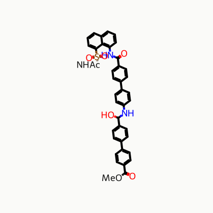 COC(=O)c1ccc(-c2ccc(C(O)Nc3ccc(-c4ccc(C(=O)Nc5cccc6cccc(S(=O)(=O)NC(C)=O)c56)cc4)cc3)cc2)cc1